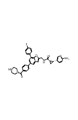 Nc1ccc([C@@H]2C[C@H]2C(=O)NCc2cc3cc(-c4ccc(C(=O)N5CCNCC5)cc4)cc(-c4ccc(F)cc4)c3o2)cn1